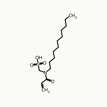 C=CC(=O)N(CCCCCCCCCCC)CS(=O)(=O)O